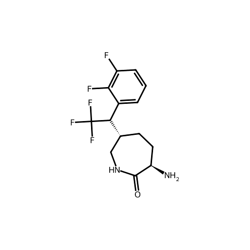 N[C@@H]1CC[C@@H](C(c2cccc(F)c2F)C(F)(F)F)CNC1=O